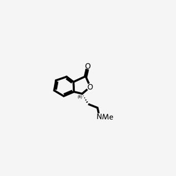 CNCC[C@H]1OC(=O)c2ccccc21